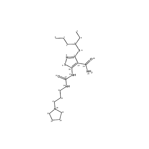 CCCC(CC)Sc1nsc(NC(=O)NCCCN2CCCC2)c1C(N)=O